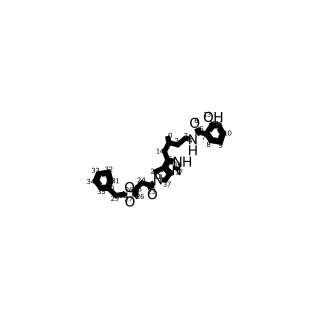 CC(CCNC(=O)c1ccccc1O)Cc1[nH]nc2c1CN(C(=O)CC1=COC(Cc3ccccc3)O1)C2